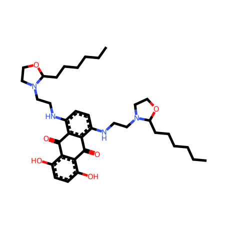 CCCCCCC1OCCN1CCNc1ccc(NCCN2CCOC2CCCCCC)c2c1C(=O)c1c(O)ccc(O)c1C2=O